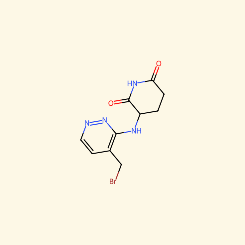 O=C1CCC(Nc2nnccc2CBr)C(=O)N1